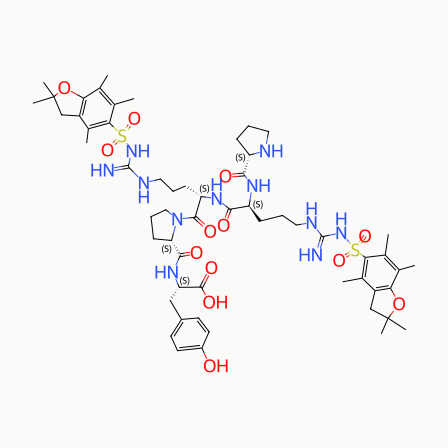 Cc1c(C)c(S(=O)(=O)NC(=N)NCCC[C@H](NC(=O)[C@@H]2CCCN2)C(=O)N[C@@H](CCCNC(=N)NS(=O)(=O)c2c(C)c(C)c3c(c2C)CC(C)(C)O3)C(=O)N2CCC[C@H]2C(=O)N[C@@H](Cc2ccc(O)cc2)C(=O)O)c(C)c2c1OC(C)(C)C2